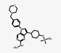 CCCCNc1ncc2c(n1)c(C1CCC(O[Si](C)(C)C(C)(C)C)CC1)cn2-c1ccc(CN2CCOCC2)cc1